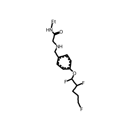 CCNC(=O)CNCc1ccc(OC(F)C(F)CCCF)cc1